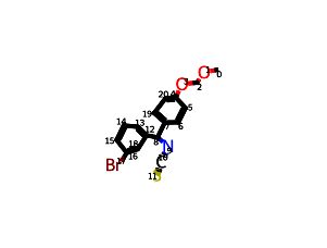 COCOc1ccc(C(N=C=S)c2cccc(Br)c2)cc1